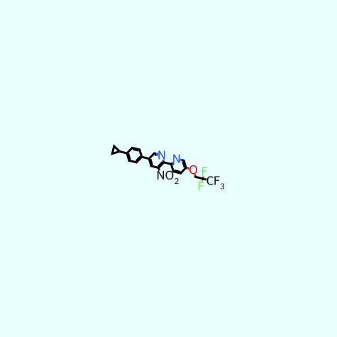 O=[N+]([O-])c1cc(-c2ccc(C3CC3)cc2)cnc1-c1ccc(OCC(F)(F)C(F)(F)F)cn1